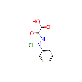 O=C(O)C(=O)NN(Cl)c1ccccc1